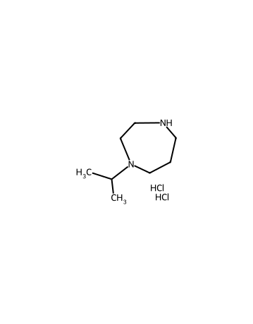 CC(C)N1CCCNCC1.Cl.Cl